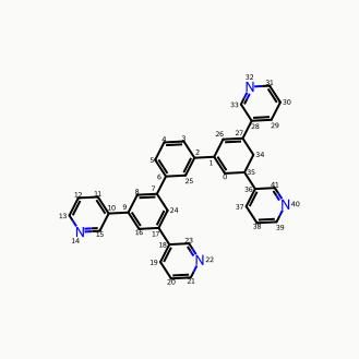 C1=C(c2cccc(-c3cc(-c4cccnc4)cc(-c4cccnc4)c3)c2)C=C(c2cccnc2)CC1c1cccnc1